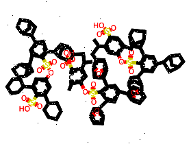 Cc1cc(S(=O)(=O)O)c(C(C)CC2CC3CC2CC3c2cc(C3CC4CCC3C4)cc(C3CC4CCC3C4)c2S(=O)(=O)Oc2cc(C3CCCCC3)c(S(=O)(=O)O)c(C3CCCCC3)c2)cc1OS(=O)(=O)c1c(-c2cc3ccc2o3)cc(-c2cc3ccc2o3)cc1-c1cc2oc1cc2CC(C)c1cc(OS(=O)(=O)c2c(C3CC4CCC3C4)cc(C3CC4CCC3C4)cc2C2CC3CCC2C3)c(C)cc1S(=O)(=O)O